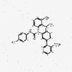 Cc1ccc(NC(=O)Nc2cc(-c3ccccc3C(=O)O)ccc2N(C)c2ccccc2C(C)(C)C)cc1